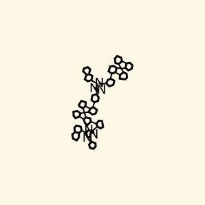 c1ccc(-c2nc(-c3ccccc3-c3ccc4c(c3)C3(c5ccccc5-4)c4ccccc4-c4c(-c5ccc(-c6nc(-c7cccc(-c8cccc9c8-c8ccccc8C98c9ccccc9-c9ccccc98)c7)nc(-c7ccc8ccccc8c7)n6)cc5)cccc43)nc(-c3cccc4ccccc34)n2)cc1